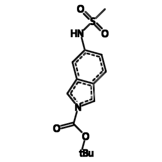 CC(C)(C)OC(=O)n1cc2ccc(NS(C)(=O)=O)cc2c1